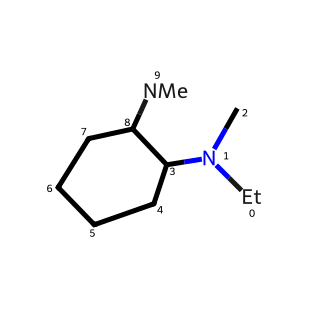 CCN(C)C1CCCCC1NC